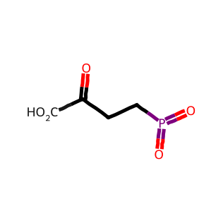 O=C(O)C(=O)CCP(=O)=O